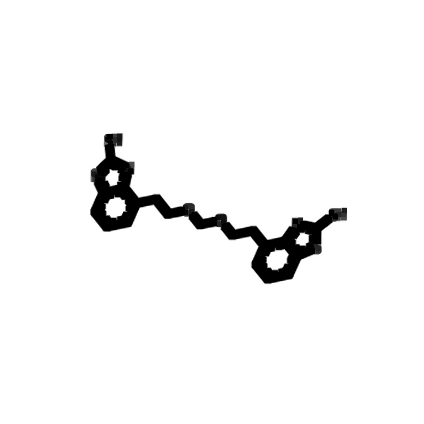 Sc1nc2c(CCOCOCCc3cccc4sc(S)nc34)cccc2s1